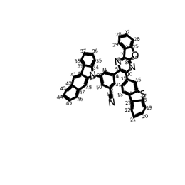 N#Cc1cc(-c2nc3c(nc2-c2ccc4c(c2)sc2ccccc24)oc2ccccc23)cc(-n2c3ccccc3c3cc4ccccc4cc32)c1